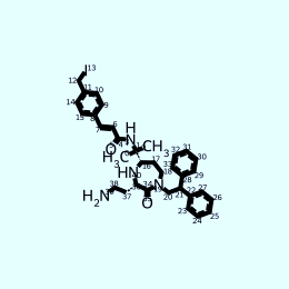 CC(C)(NC(=O)/C=C/c1ccc(CI)cc1)[C@@H]1CCN(CC(c2ccccc2)c2ccccc2)C(=O)[C@H](CCN)N1